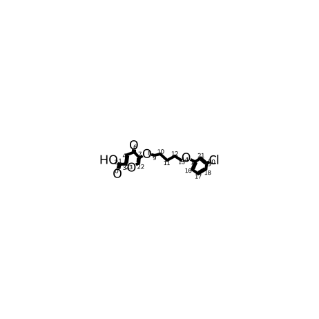 O=C(O)c1cc(=O)c(OCCCCCOc2cccc(Cl)c2)co1